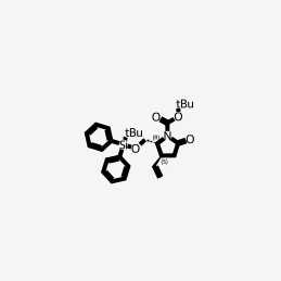 C=C[C@@H]1CC(=O)N(C(=O)OC(C)(C)C)[C@H]1CO[Si](c1ccccc1)(c1ccccc1)C(C)(C)C